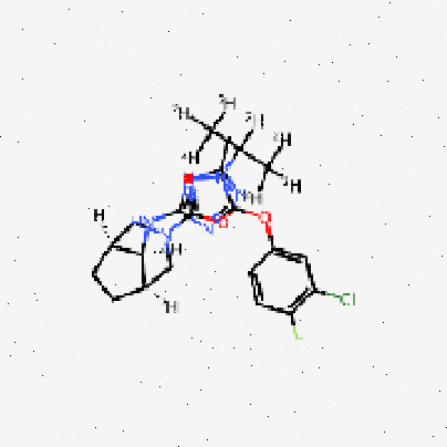 [2H]C([2H])([2H])C([2H])(n1nc(N[C@H]2[C@@H]3CC[C@H]2CN(c2nc(C)no2)C3)nc1Oc1ccc(F)c(Cl)c1)C([2H])([2H])[2H]